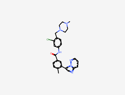 Cc1ccc(C(=O)Nc2ccc(CN3CCN(C)CC3)c(Cl)c2)cc1-c1cnc2cccnn12